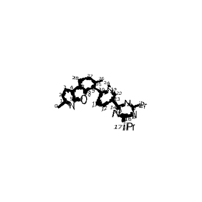 Cc1ccc2c(n1)oc1c(-c3ccc(-c4nc(C(C)C)nc(C(C)C)n4)c[n+]3C)c(C)ccc12